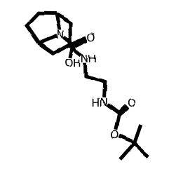 CC(C)(C)OC(=O)NCCNC1CC2CCC(C1)N2C(=O)O